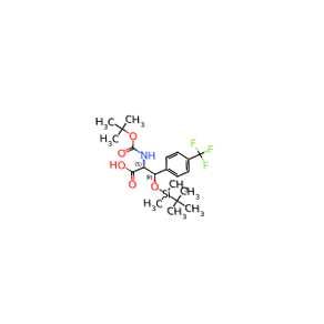 CC(C)(C)OC(=O)N[C@H](C(=O)O)[C@H](O[Si](C)(C)C(C)(C)C)c1ccc(C(F)(F)F)cc1